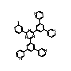 CC1C=C(c2nc(-c3cc(-c4cccnc4)cc(-c4cccnc4)c3)nc(-c3cc(-c4cccnc4)cc(-c4cccnc4)c3)n2)C=CC1